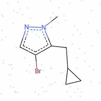 Cn1ncc(Br)c1CC1CC1